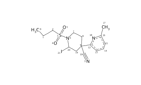 CCCS(=O)(=O)N1CCC(C#N)(c2cccc(C)n2)CC1I